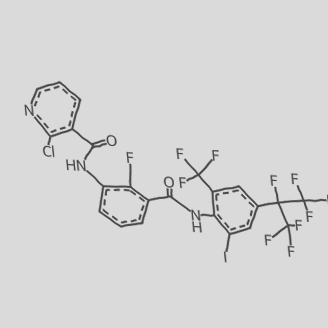 O=C(Nc1cccc(C(=O)Nc2c(I)cc(C(F)(C(F)(F)F)C(F)(F)F)cc2C(F)(F)F)c1F)c1cccnc1Cl